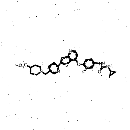 O=C(Nc1ccc(Oc2ccnc3cc(-c4ccc(CN5CCC(C(=O)O)CC5)cn4)sc23)c(F)c1)NC1CC1